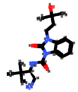 CC(C)(O)CCn1c(=O)n(C(=O)N[C@H](CN)C(C)(C)C)c2ccccc21